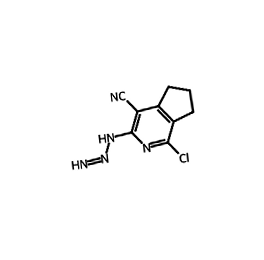 N#Cc1c(NN=N)nc(Cl)c2c1CCC2